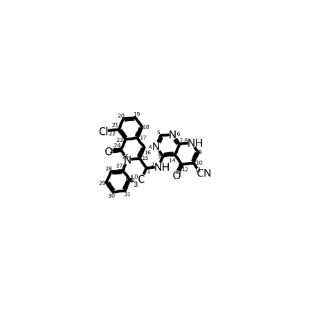 CC(Nc1ncnc2[nH]cc(C#N)c(=O)c12)c1cc2cccc(Cl)c2c(=O)n1-c1ccccc1